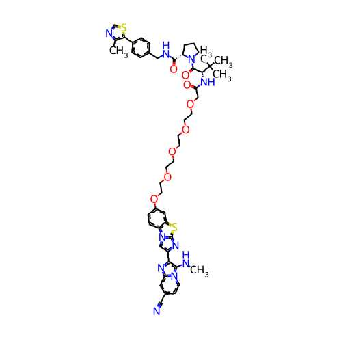 CNc1c(-c2cn3c(n2)sc2cc(OCCOCCOCCOCCOCC(=O)N[C@H](C(=O)N4CCC[C@H]4C(=O)NCc4ccc(-c5scnc5C)cc4)C(C)(C)C)ccc23)nc2cc(C#N)ccn12